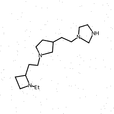 CCN1CCC1CCN1CCC(CCN2CCNC2)C1